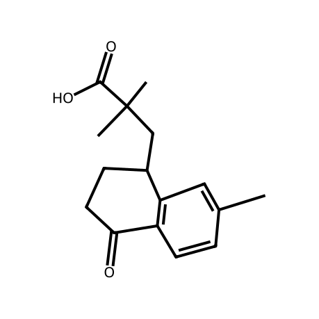 Cc1ccc2c(c1)C(CC(C)(C)C(=O)O)CCC2=O